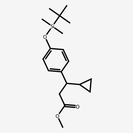 COC(=O)CC(c1ccc(O[Si](C)(C)C(C)(C)C)cc1)C1CC1